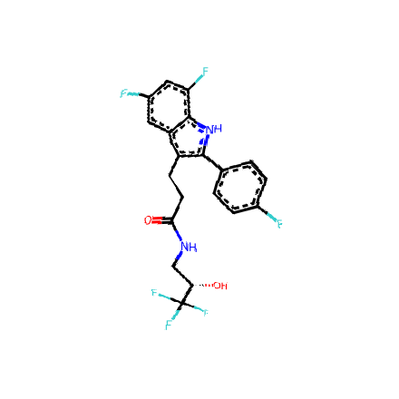 O=C(CCc1c(-c2ccc(F)cc2)[nH]c2c(F)cc(F)cc12)NC[C@H](O)C(F)(F)F